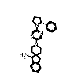 N[C@@H]1c2ccccc2CC12CCN(c1cnc(N3CCC[C@@H]3c3ccccc3)cn1)CC2